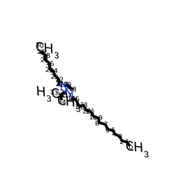 CCCCCCCCCCCCCCCCCN1C=CN(CCCCCCCCCC)C1C(C)C